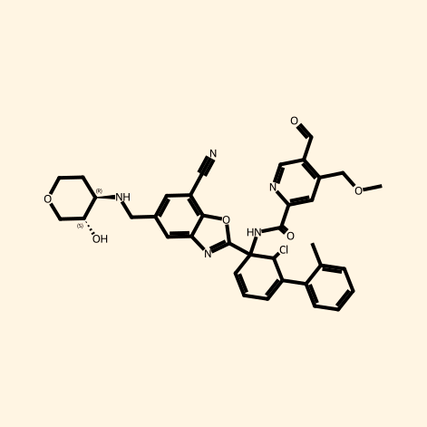 COCc1cc(C(=O)NC2(c3nc4cc(CN[C@@H]5CCOC[C@H]5O)cc(C#N)c4o3)C=CC=C(c3ccccc3C)C2Cl)ncc1C=O